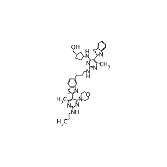 CCCNc1nc(C)c(-c2nc3cc(CCCNc4nc(C)c(-c5nc6ccccc6s5)c(N[C@H]5CC[C@@H](CO)C5)n4)ccc3s2)c(N2CCOCC2)n1